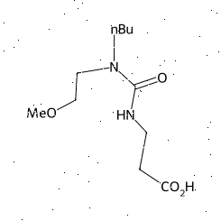 CCCCN(CCOC)C(=O)NCCC(=O)O